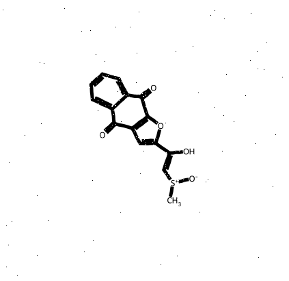 C[S+]([O-])/C=C(\O)c1cc2c(o1)C(=O)c1ccccc1C2=O